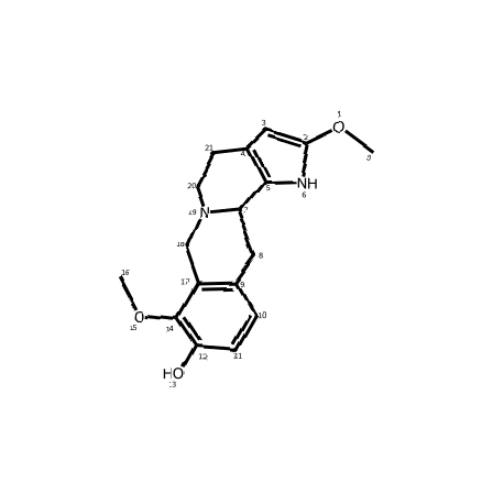 COc1cc2c([nH]1)C1Cc3ccc(O)c(OC)c3CN1CC2